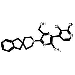 Cc1nc(N2CCC3(CC2)Cc2ccccc2C3)c(CO)nc1-c1ccnc(C#N)c1Cl